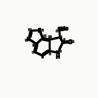 CSC1C(=O)Nc2ccc3ncsc3c21